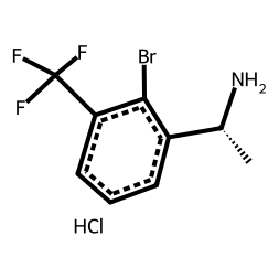 C[C@@H](N)c1cccc(C(F)(F)F)c1Br.Cl